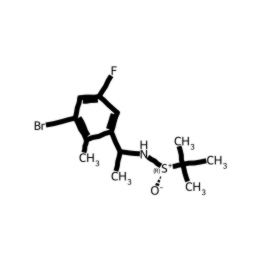 Cc1c(Br)cc(F)cc1C(C)N[S@@+]([O-])C(C)(C)C